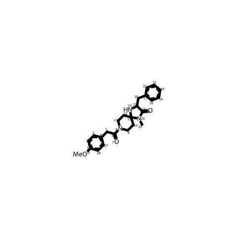 COc1ccc(CC(=O)N2CCC3(CC2)NC(Cc2ccccc2)C(=O)N3C)cc1